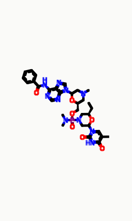 CC[C@@H]1CN(P(=O)(OC[C@@H]2CN(C)CC(n3cnc4c(NC(=O)c5ccccc5)ncnc43)O2)N(C)C)CC(n2cc(C)c(=O)[nH]c2=O)O1